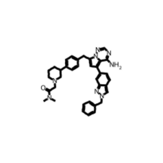 CN(C)C(=O)CN1CCCC(c2ccc(Cc3cc(-c4ccc5cn(Cc6ccccc6)nc5c4)c4c(N)ncnn34)cc2)C1